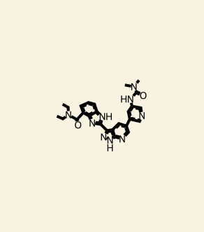 CCN(CC)C(=O)c1cccc2[nH]c(-c3n[nH]c4ncc(-c5cncc(NC(=O)N(C)C)c5)cc34)nc12